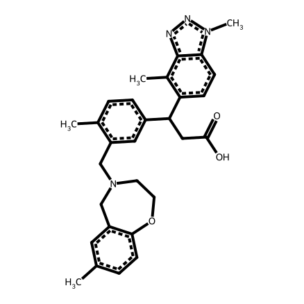 Cc1ccc2c(c1)CN(Cc1cc(C(CC(=O)O)c3ccc4c(nnn4C)c3C)ccc1C)CCO2